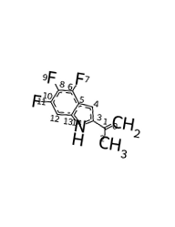 C=C(C)c1cc2c(F)c(F)c(F)cc2[nH]1